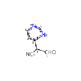 N#CC(C=O)c1ccncn1